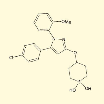 COc1ccccc1-n1nc(OC2CCS(O)(O)CC2)cc1-c1ccc(Cl)cc1